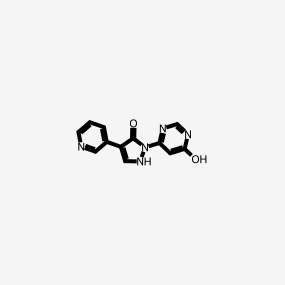 O=c1c(-c2cccnc2)c[nH]n1-c1cc(O)ncn1